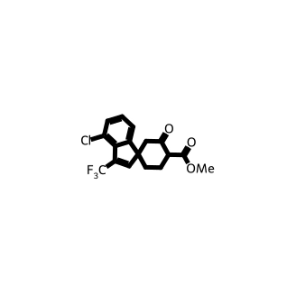 COC(=O)C1CCC2(C=C(C(F)(F)F)c3c(Cl)cccc32)CC1=O